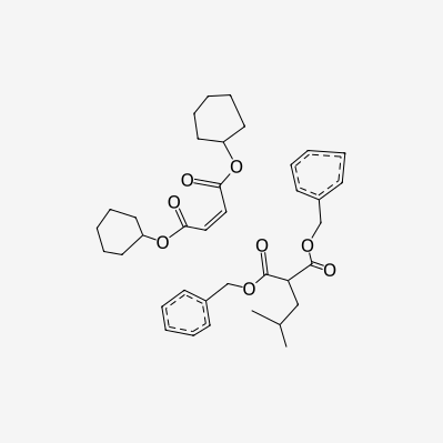 CC(C)CC(C(=O)OCc1ccccc1)C(=O)OCc1ccccc1.O=C(/C=C\C(=O)OC1CCCCC1)OC1CCCCC1